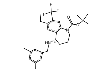 CCc1cc2c(cc1C(F)(F)F)N(C(=O)OC(C)(C)C)CCC[C@@H]2NCc1cc(C)cc(C)c1